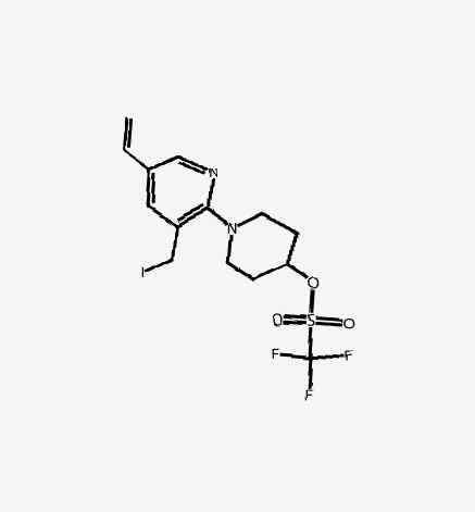 C=Cc1cnc(N2CCC(OS(=O)(=O)C(F)(F)F)CC2)c(CI)c1